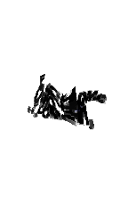 CO/N=C(/N)NCCC[C@@]1(C)SC(c2cc(F)ccc2F)=NN1C(=O)[C@H](C)OC